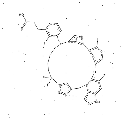 O=C(O)CCc1cccc(C2CCCCC(F)(F)c3cn(nn3)Cc3c(c(F)cc4[nH]ccc34)Oc3ccc(F)c(c3)-c3ncc2[nH]3)c1F